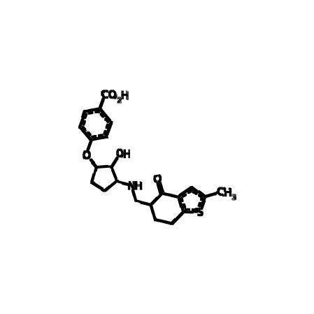 Cc1cc2c(s1)CCC(CNC1CCC(Oc3ccc(C(=O)O)cc3)C1O)C2=O